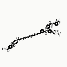 CCN(CC)c1ccc(NC(=O)c2cccc(CCCOCCOCCOCCOCCC(=O)N3CCN(S(=O)(=O)c4ccc(C(=O)O)cc4)CC3)c2)c(-c2cc(C(=O)NCc3cccc(C(F)(F)F)c3)ccn2)c1